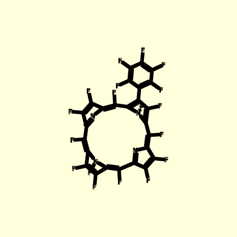 FC1=C(F)c2nc1c(F)c1c(F)c(F)c(c(F)c3nc(c(F)c4c(-c5c(F)c(F)c(F)c(F)c5F)c(F)c(c2F)n4F)C(F)=C3F)n1F